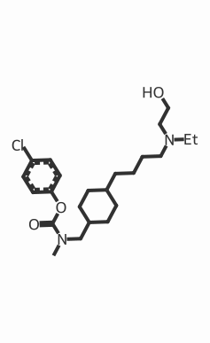 CCN(CCO)CCCCC1CCC(CN(C)C(=O)Oc2ccc(Cl)cc2)CC1